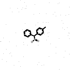 Cc1ccc(C(c2ccccc2)[N+](=O)[O-])cc1